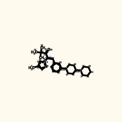 Cc1cnn(/C(=C\c2cccc(N3CCC(N4CCCCC4)CC3)c2)C(=O)C(C)(C)C)c1